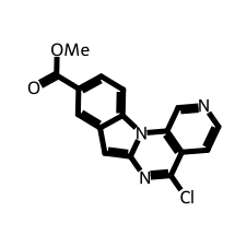 COC(=O)c1ccc2c(c1)cc1nc(Cl)c3ccncc3n12